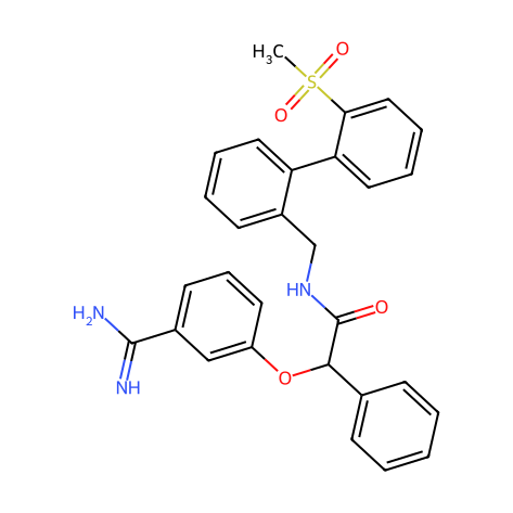 CS(=O)(=O)c1ccccc1-c1ccccc1CNC(=O)C(Oc1cccc(C(=N)N)c1)c1ccccc1